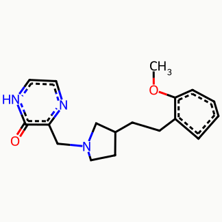 COc1ccccc1CCC1CCN(Cc2ncc[nH]c2=O)C1